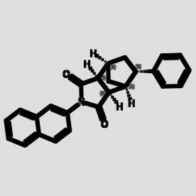 O=C1[C@@H]2[C@H]3C[C@H](C[C@@H]3c3ccccc3)[C@@H]2C(=O)N1c1ccc2ccccc2c1